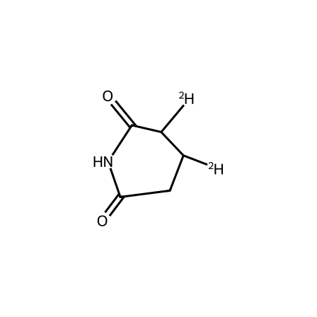 [2H]C1CC(=O)NC(=O)C1[2H]